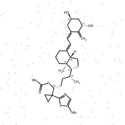 C=C1/C(=C\C=C2/CCC[C@]3(C)[C@@H]([C@H](C)CC[C@@H](OC(=O)C(C)(C)C)C4(c5ncc(CCCC)s5)CC4)CC[C@@H]23)C[C@@H](O)C[C@@H]1O